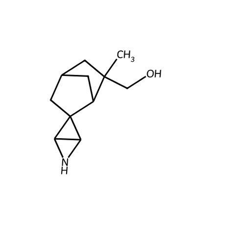 CC1(CO)CC2CC1C1(C2)C2NC21